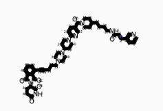 O=C(/C=C/c1cccnc1)NCCCCC1CCN(C(=O)c2ccc(N3CCC(N4CCN(CCCC#Cc5cccc6c5C(=O)N(C5CCC(=O)NC5=O)C6=O)CC4)CC3)nc2)CC1